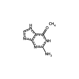 C.Nc1nc2nc[nH]c2c(=O)[nH]1